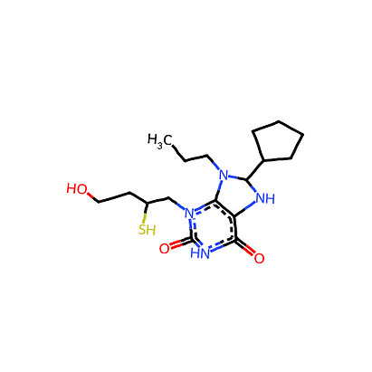 CCCN1c2c(c(=O)[nH]c(=O)n2CC(S)CCO)NC1C1CCCC1